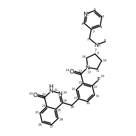 CN(Cc1cccnc1)[C@@H]1CCN(C(=O)c2cc(Cc3n[nH]c(=O)c4ccccc34)ccc2F)C1